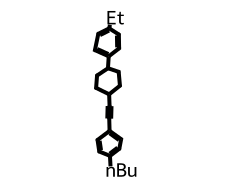 CCCCc1ccc(C#CC2CCC(c3ccc(CC)cc3)CC2)cc1